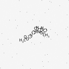 CC(=O)OC1CCN(c2ccc(-c3onc(C#N)c3NC(=O)OC(C)c3ccccc3)cc2)CC1